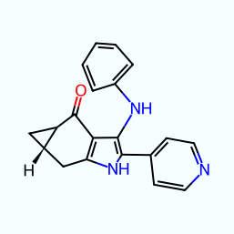 O=C1c2c([nH]c(-c3ccncc3)c2Nc2ccccc2)C[C@@H]2CC12